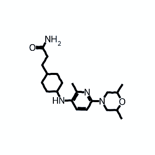 Cc1nc(N2CC(C)OC(C)C2)ccc1NC1CCC(CCC(N)=O)CC1